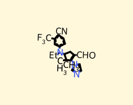 CCN(c1ccc(C#N)c(C(F)(F)F)c1)C1CC(C=O)=C(n2ccnc2)C1(C)C